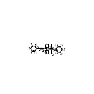 C[Si](C)(C#Cc1ccccc1)C#Cc1ccccc1